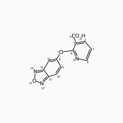 O=C(O)c1cccnc1Oc1ccc2nonc2c1